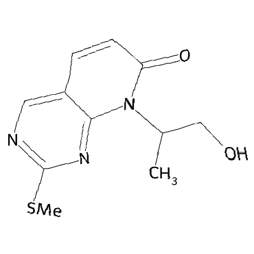 CSc1ncc2ccc(=O)n(C(C)CO)c2n1